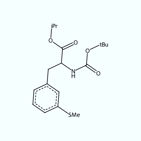 CSc1cccc(CC(NC(=O)OC(C)(C)C)C(=O)OC(C)C)c1